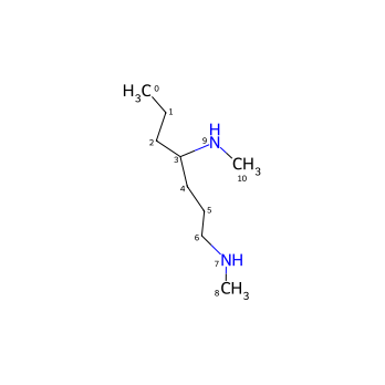 CCCC(CCCNC)NC